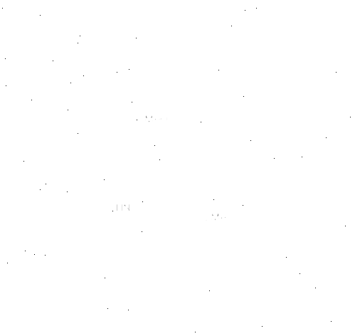 COc1cc(C)c(OC)c2c1CCNC2